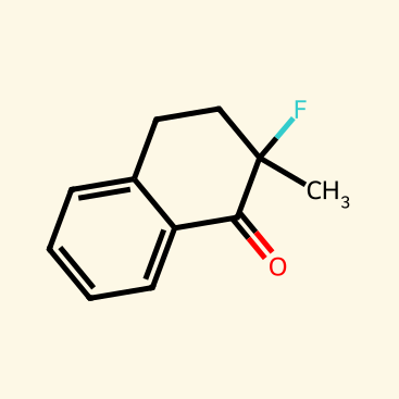 CC1(F)CCc2ccccc2C1=O